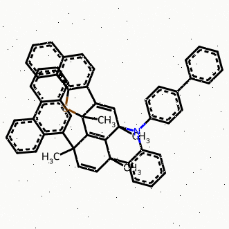 CC12Sc3c(ccc4ccccc34)C1=CC1(C)C3=C2C(C)(c2cc4ccccc4c4ccccc24)C=CC3(C)c2ccccc2N1c1ccc(-c2ccccc2)cc1